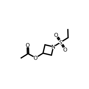 CCS(=O)(=O)N1CC(OC(C)=O)C1